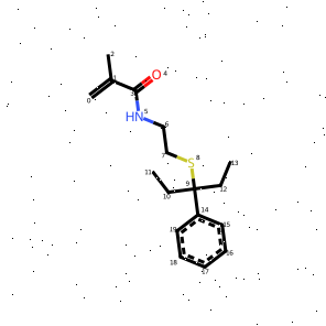 C=C(C)C(=O)NCCSC(CC)(CC)c1ccccc1